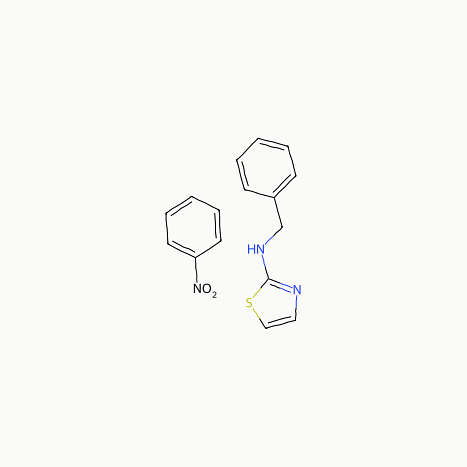 O=[N+]([O-])c1ccccc1.c1ccc(CNc2nccs2)cc1